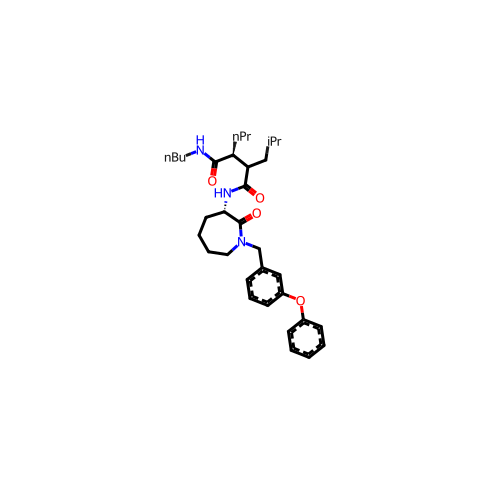 CCCCNC(=O)[C@@H](CCC)C(CC(C)C)C(=O)N[C@H]1CCCCN(Cc2cccc(Oc3ccccc3)c2)C1=O